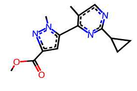 COC(=O)c1cc(-c2nc(C3CC3)ncc2C)n(C)n1